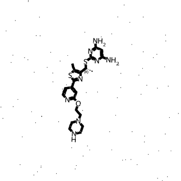 Cc1sc(-c2ccnc(OCCN3CCNCC3)c2)nc1[C@@H](C)Sc1nc(N)cc(N)n1